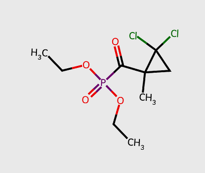 CCOP(=O)(OCC)C(=O)C1(C)CC1(Cl)Cl